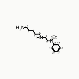 CCN(CCNCCCCCN)c1ccccc1